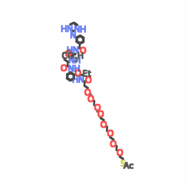 CCC(NC(=O)CCOCOCCOCOCCOCCOCCOCCOCCSC(C)=O)Oc1ccccc1NC(=O)C(CC(=O)O)NC(=O)CNC(=O)c1cccc(N=C2NC=CCN2)c1